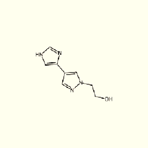 OCCn1cc(-c2c[nH]cn2)cn1